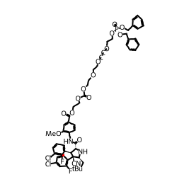 COc1cc(C(=O)OCCOC(=O)OCCOCCOCCOCCOP(=O)(OCc2ccccc2)OCc2ccccc2)ccc1NC(=O)[C@@H]1N[C@@H](CC(C)(C)C)[C@](C#N)(c2ccc(Cl)cc2F)[C@H]1c1cccc(Cl)c1F